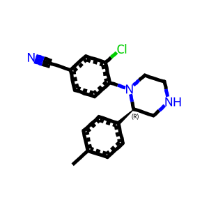 Cc1ccc([C@@H]2CNCCN2c2ccc(C#N)cc2Cl)cc1